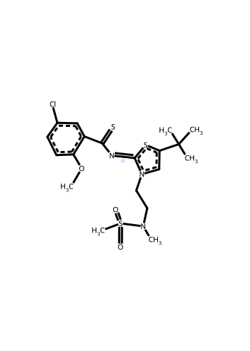 COc1ccc(Cl)cc1C(=S)/N=c1\sc(C(C)(C)C)cn1CCN(C)S(C)(=O)=O